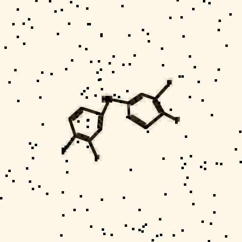 Fc1ccc(Nc2ccc(F)c(F)c2)cc1F